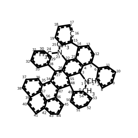 CN(C)c1c2c(-c3ccccc3)ccc(-c3ccccc3)c2c(N(C)C)c2c(-c3ccccc3)c3c4cccc5ccc6cccc(c3c(-c3ccccc3)c12)c6c54